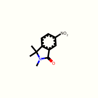 CN1C(=O)c2cc([N+](=O)[O-])ccc2C1(C)C